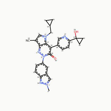 Cn1cc2cc(-n3nc4c(C#N)cn(CC5CC5)c4c(-c4ccc(C5(O)CC5)nc4)c3=O)ccc2n1